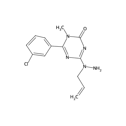 C=CCN(N)c1nc(-c2cccc(Cl)c2)n(C)c(=O)n1